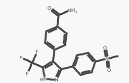 CS(=O)(=O)c1ccc(-c2n[nH]c(C(F)(F)F)c2-c2ccc(C(N)=O)cc2)cc1